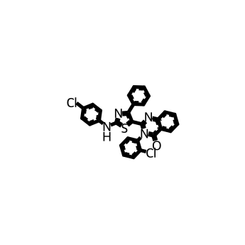 O=c1c2ccccc2nc(-c2sc(Nc3ccc(Cl)cc3)nc2-c2ccccc2)n1-c1ccccc1Cl